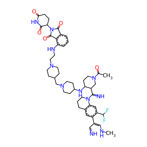 CN/C=C(\C=N)c1cc2c(cc1C(F)F)N(C(=N)C1CN(C(C)=O)CCC1NC1CCN(CC3CCN(CCNc4cccc5c4C(=O)N(C4CCC(=O)NC4=O)C5=O)CC3)CC1)CCC2